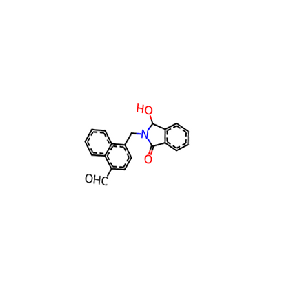 O=Cc1ccc(CN2C(=O)c3ccccc3C2O)c2ccccc12